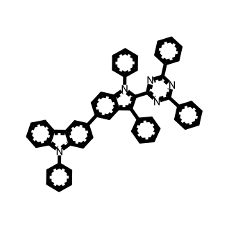 c1ccc(-c2nc(-c3ccccc3)nc(-c3c(-c4ccccc4)c4cc(-c5ccc6c(c5)c5ccccc5n6-c5ccccc5)ccc4n3-c3ccccc3)n2)cc1